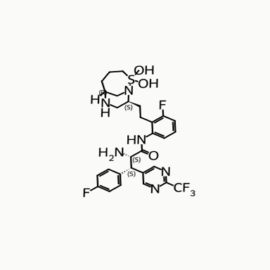 N[C@H](C(=O)Nc1cccc(F)c1CC[C@H]1CN[C@@H]2CCCS(O)(O)N1C2)[C@@H](c1ccc(F)cc1)c1cnc(C(F)(F)F)nc1